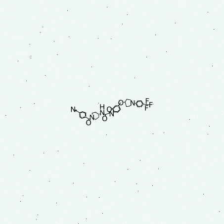 N#Cc1ccc(C(=O)N2CCC(NC(=O)c3nc4ccc(OC5CCN(c6ccc(C(F)(F)F)cc6)CC5)cc4o3)CC2)cc1